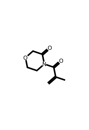 C=C(C)C(=O)N1CCOCC1=O